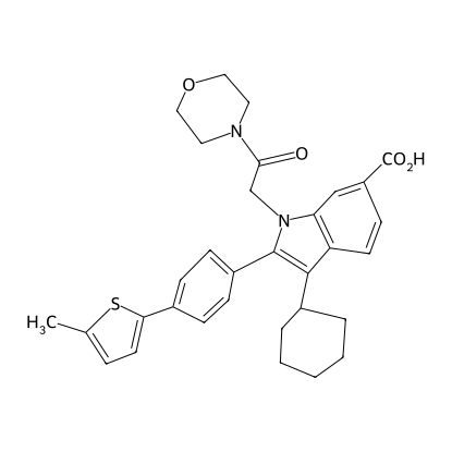 Cc1ccc(-c2ccc(-c3c(C4CCCCC4)c4ccc(C(=O)O)cc4n3CC(=O)N3CCOCC3)cc2)s1